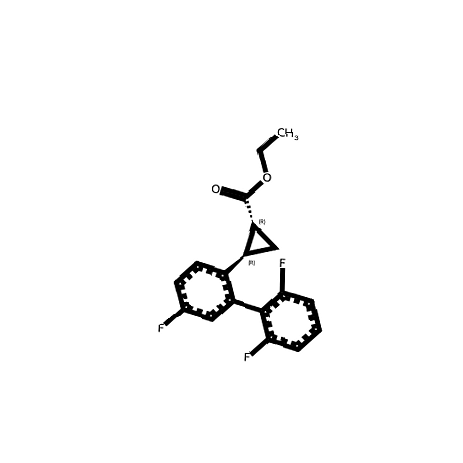 CCOC(=O)[C@@H]1C[C@H]1c1ccc(F)cc1-c1c(F)cccc1F